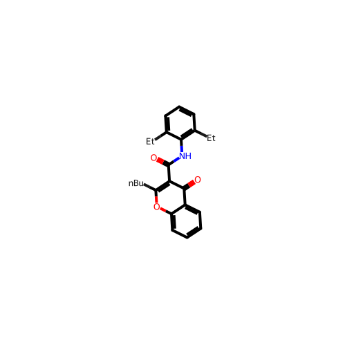 CCCCc1oc2ccccc2c(=O)c1C(=O)Nc1c(CC)cccc1CC